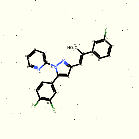 O=C(O)/C(=C\c1cc(-c2ccc(Cl)c(Cl)c2)n(-c2ccccn2)n1)c1cccc(Cl)c1